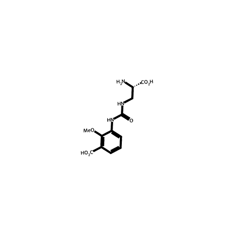 COc1c(NC(=O)NC[C@H](N)C(=O)O)cccc1C(=O)O